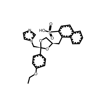 CCOc1ccc([C@]2(Cn3ccnc3)OC[C@@H](Cc3c(S(=O)(=O)O)ccc4ccccc34)O2)cc1